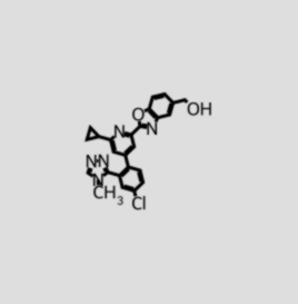 Cn1cnnc1-c1cc(Cl)ccc1-c1cc(-c2nc3cc(CO)ccc3o2)nc(C2CC2)c1